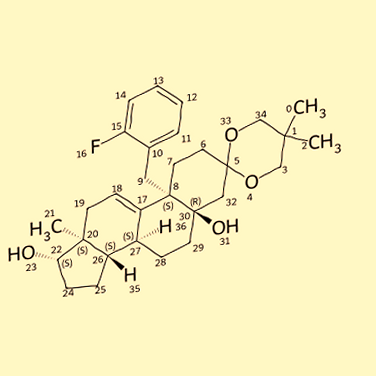 CC1(C)COC2(CC[C@]3(Cc4ccccc4F)C4=CC[C@]5(C)[C@@H](O)CC[C@H]5[C@@H]4CC[C@@]3(O)C2)OC1